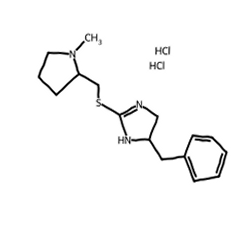 CN1CCCC1CSC1=NCC(Cc2ccccc2)N1.Cl.Cl